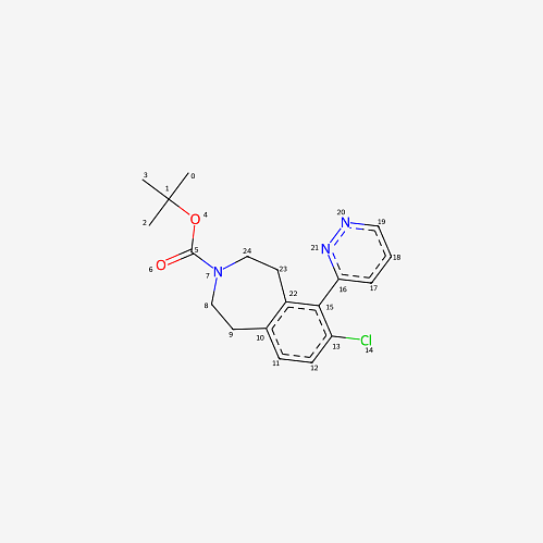 CC(C)(C)OC(=O)N1CCc2ccc(Cl)c(-c3cccnn3)c2CC1